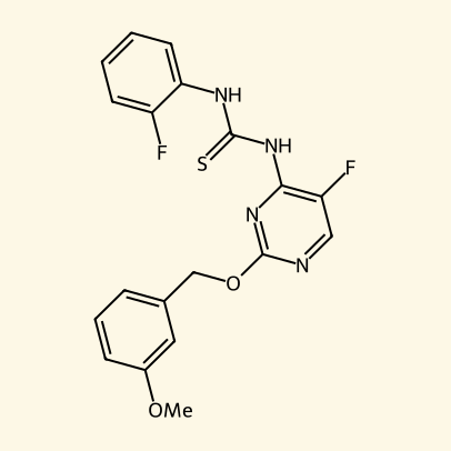 COc1cccc(COc2ncc(F)c(NC(=S)Nc3ccccc3F)n2)c1